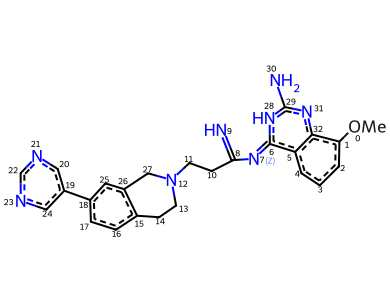 COc1cccc2/c(=N/C(=N)CCN3CCc4ccc(-c5cncnc5)cc4C3)[nH]c(N)nc12